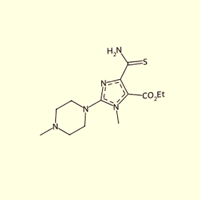 CCOC(=O)c1c(C(N)=S)nc(N2CCN(C)CC2)n1C